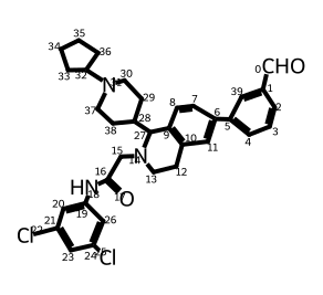 O=Cc1cccc(-c2ccc3c(c2)CCN(CC(=O)Nc2cc(Cl)cc(Cl)c2)C3C2CCN(C3CCCC3)CC2)c1